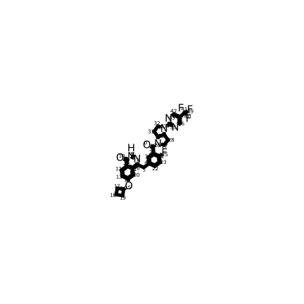 O=C(c1cc(Cc2n[nH]c(=O)c3ccc(OC4CCC4)cc23)ccc1F)N1CCC2C1CCN2c1ncc(C(F)(F)F)cn1